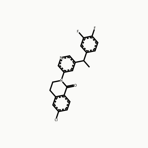 CC(c1cncc(N2CCc3cc(Cl)ccc3C2=O)c1)c1ccc(F)c(F)c1